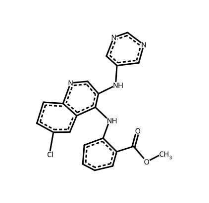 COC(=O)c1ccccc1Nc1c(Nc2cncnc2)cnc2ccc(Cl)cc12